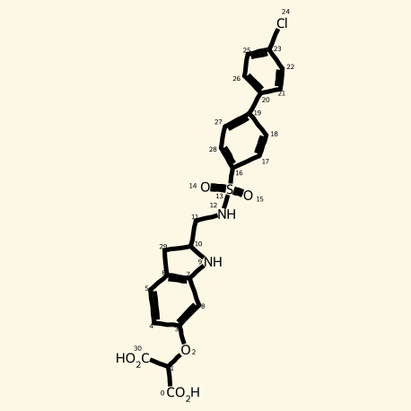 O=C(O)C(Oc1ccc2c(c1)NC(CNS(=O)(=O)c1ccc(-c3ccc(Cl)cc3)cc1)C2)C(=O)O